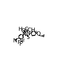 CC1(C)C(=O)N(c2ccc(C#N)c(C(F)(F)F)c2)C(=S)N1c1ccc(OCC2CC2)cc1